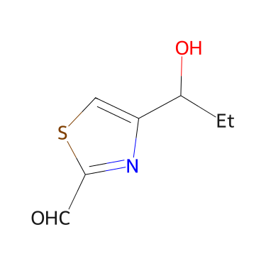 CCC(O)c1csc(C=O)n1